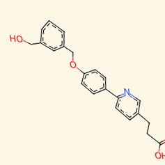 O=C(O)CCc1ccc(-c2ccc(OCc3cccc(CO)c3)cc2)nc1